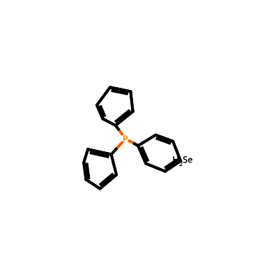 [SeH2].c1ccc(P(c2ccccc2)c2ccccc2)cc1